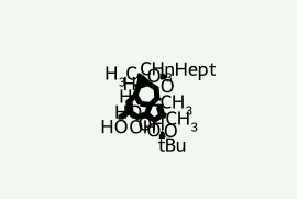 CCCCCCCC(=O)O[C@@]12C[C@@H](C)[C@]34C=C(C)[C@H](OC(=O)C(C)(C)C)[C@@]3(O)[C@H](O)C(CO)=C[C@H](C4O)[C@@H]1C2(C)C